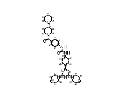 O=C(Nc1ccc(C(=O)N2CCC(N3CCCCC3)CC2)cc1)Nc1ccc(-c2nc(N3CCOCC3)nc(N3CCOCC3)n2)cc1